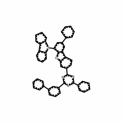 c1ccc(-c2cccc(-c3nc(-c4ccccc4)nc(-c4ccc5c(c4)oc4c(-n6c7ccccc7c7ccccc76)cc(-c6ccccc6)cc45)n3)c2)cc1